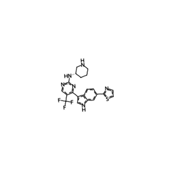 FC(F)(F)c1cnc(N[C@H]2CCCNC2)nc1-c1c[nH]c2cc(-c3nccs3)ccc12